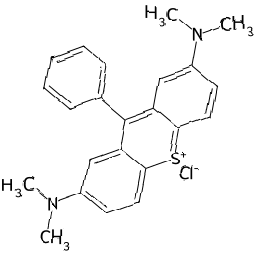 CN(C)c1ccc2[s+]c3ccc(N(C)C)cc3c(-c3ccccc3)c2c1.[Cl-]